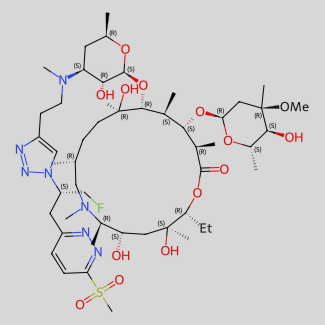 CC[C@H]1OC(=O)[C@H](C)[C@@H](O[C@H]2C[C@@](C)(OC)[C@@H](O)[C@H](C)O2)[C@H](C)[C@@H](O[C@@H]2O[C@H](C)C[C@H](N(C)CCc3cn([C@H](CF)Cc4ccc(S(C)(=O)=O)nn4)nn3)[C@H]2O)[C@](C)(O)CC[C@@H](C)CN(C)[C@H](C)[C@@H](O)C[C@]1(C)O